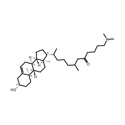 CC(CCCC(C)[C@H]1CC[C@H]2[C@@H]3CC=C4C[C@@H](O)CC[C@]4(C)[C@H]3CC[C@]12C)CC(=O)CCCCN(C)C